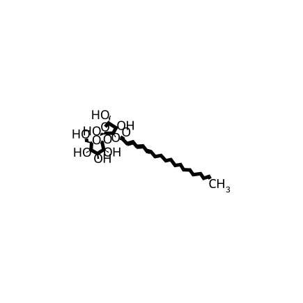 CCCCCCCCCCCCC/C=C/C=C/C=C/C(=O)O[C@H]1[C@H](O)[C@@H](CO)O[C@@]1(CO)O[C@H]1O[C@H](CO)[C@@H](O)[C@H](O)[C@H]1O